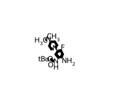 CN(C)C1CCN(c2cc(NC(=O)OC(C)(C)C)c(N)cc2F)CC1